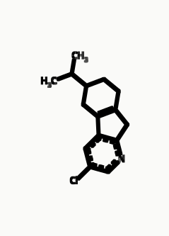 CC(C)C1CCC2=C(C1)c1cc(Cl)cnc1C2